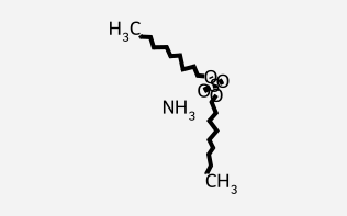 CCCCCCCCCCOS(=O)(=O)OCCCCCCCCCC.N